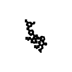 NC(=O)C(=CC1CC1)C(=O)N1CCC[C@H](n2nc(-c3ccc(Oc4cc(F)cc(F)c4)cc3)c3c(N)ncnc32)C1